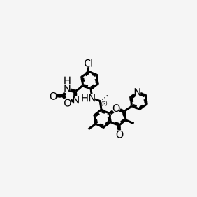 Cc1cc([C@@H](C)Nc2ccc(Cl)cc2-c2noc(=O)[nH]2)c2oc(-c3cccnc3)c(C)c(=O)c2c1